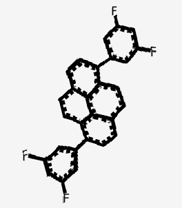 Fc1cc(F)cc(-c2ccc3ccc4c(-c5cc(F)cc(F)c5)ccc5ccc2c3c54)c1